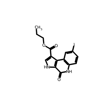 CCCOC(=O)c1c[nH]c2c(=O)[nH]c3ccc(I)cc3c12